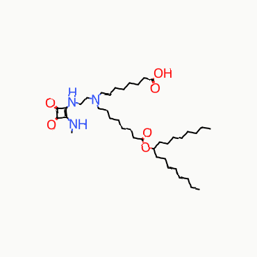 CCCCCCCCC(CCCCCCCC)OC(=O)CCCCCCCN(CCCCCCCC(=O)O)CCNc1c(NC)c(=O)c1=O